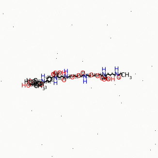 CCC(=O)NCCCCC(NC(=O)COCCOCCNC(=O)COCCOCCNC(=O)CCC(NC(=O)C1CCC(CNC(=O)CC(C)(C)C(C)(C)CC(=O)O)CC1)C(=O)O)C(=O)O